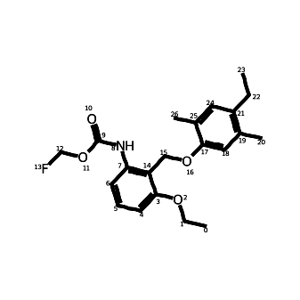 CCOc1cccc(NC(=O)OCF)c1COc1cc(C)c(CC)cc1C